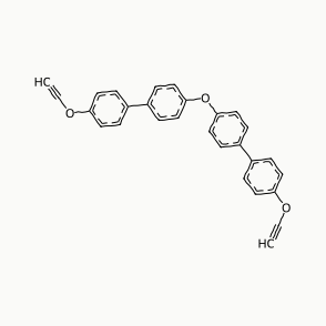 C#COc1ccc(-c2ccc(Oc3ccc(-c4ccc(OC#C)cc4)cc3)cc2)cc1